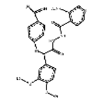 CCOc1cc(C(Nc2ccc(C(=N)N)cc2)C(=O)NNC(=O)c2ccncc2NC(C)=O)ccc1OC(C)C